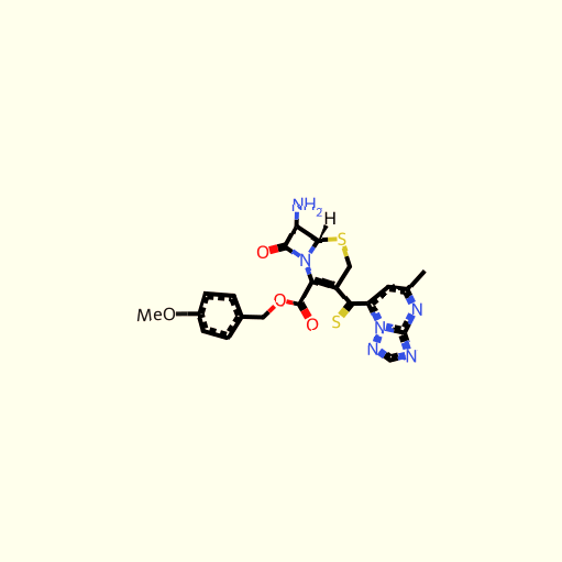 COc1ccc(COC(=O)C2=C(C(=S)c3cc(C)nc4ncnn34)CS[C@H]3C(N)C(=O)N23)cc1